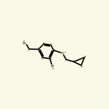 BrCc1ccc(OCC2CC2)c(Br)c1